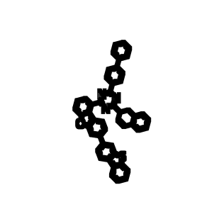 C1=CC(c2nc(-c3ccc(-c4ccccc4)cc3)nc(-c3cccc4oc5cc(-c6ccc7c(c6)sc6ccccc67)ccc5c34)n2)Cc2ccccc21